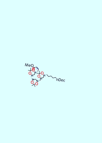 CCCCCCCCCCCCCCC[C@@H]1C[C@@H](C[C@H]2C[C@@H](C[C@H]3C[C@@H](C/C=C\C(=O)OC)OC(C)(C)O3)OC(C)(C)O2)OC(C)(C)O1